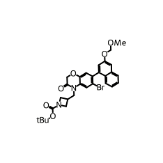 COCOc1cc(-c2cc3c(cc2Br)N(CC2CN(C(=O)OC(C)(C)C)C2)C(=O)CO3)c2ccccc2c1